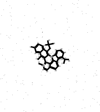 Cc1ccc2c(CC(C)(C)C)c3c(c(C)c2c1)c1c2c(ccc4c5c(C(C)C)cccc5n3c42)cc[n+]1C